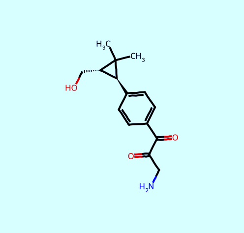 CC1(C)[C@@H](CO)[C@@H]1c1ccc(C(=O)C(=O)CN)cc1